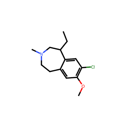 CCC1CN(C)CCc2cc(OC)c(Cl)cc21